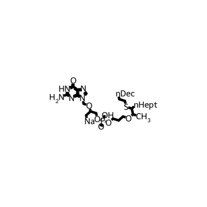 CCCCCCCCCCCCSC(CCCCCCC)C(C)OCCCOP(=O)(O)OCC([CH2][Na])OCn1cnc2c(=O)[nH]c(N)nc21